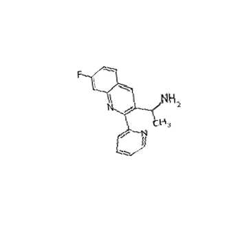 CC(N)c1cc2ccc(F)cc2nc1-c1ccccn1